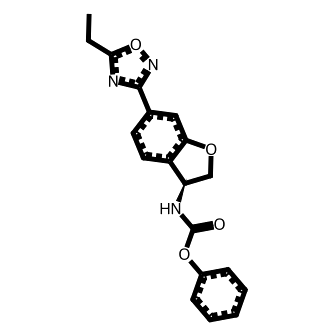 CCc1nc(-c2ccc3c(c2)OC[C@H]3NC(=O)Oc2ccccc2)no1